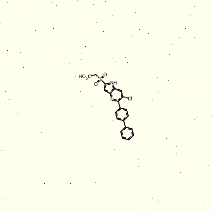 O=C(O)CS(=O)(=O)c1cc2nc(-c3ccc(-c4ccccc4)cc3)c(Cl)cc2[nH]1